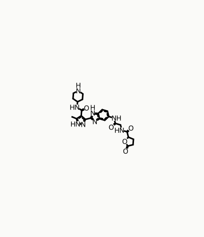 Cc1[nH]nc(-c2nc3cc(NC(=O)CNC(=O)C4CCC(=O)O4)ccc3[nH]2)c1C(=O)NC1CCNCC1